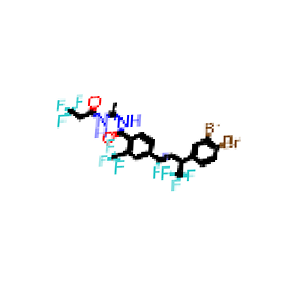 C[C@H](NC(=O)CC(F)(F)F)NC(=O)c1ccc(/C(F)=C/C(c2ccc(Br)c(Br)c2)C(F)(F)F)cc1C(F)(F)F